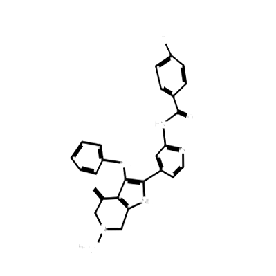 O=C(Nc1cc(-c2[nH]c3c(c2Nc2ccccc2)C(=O)CN(C(=O)O)C3)ccn1)c1ccc(F)cc1